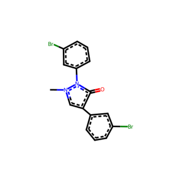 Cn1cc(-c2cccc(Br)c2)c(=O)n1-c1cccc(Br)c1